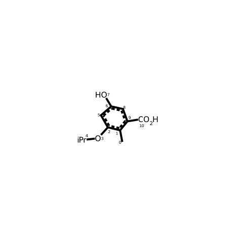 Cc1c(OC(C)C)cc(O)cc1C(=O)O